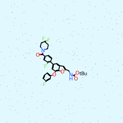 CC(C)(C)OC(=O)NCc1cc2cc(-c3ccc(C(=O)N4CCC(F)(F)CC4)cc3F)cc(Oc3cccc(F)c3)c2o1